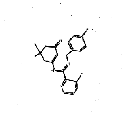 CC1(C)CC(=O)C2=C(C1)NC(c1ncccc1F)=NC2c1ccc(F)cc1